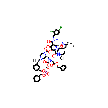 CC1=NO[C@@]2(CC[C@H](C)N3C[C@H]2n2cc(C(=O)NCc4ccc(F)cc4F)c(=O)c(OC(=O)N4CCN(C)C[C@H]4CN(CC(=O)OCc4ccccc4)C(=O)OCOP(=O)(OCc4ccccc4)OCc4ccccc4)c2C3=O)C1